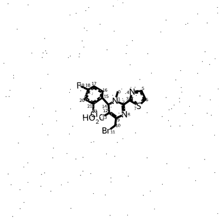 CN1C(c2nccs2)=NC(CBr)=C(C(=O)O)C1c1ccc(F)cc1Cl